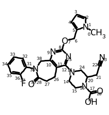 Cn1cccc1COc1nc2c(c(N3CCN(C(=O)O)C(CC#N)C3)n1)CCC(=O)N(c1ccccc1F)C2